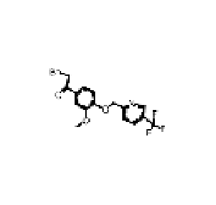 COc1cc(C(=O)CBr)ccc1OCc1ccc(C(F)(F)F)cn1